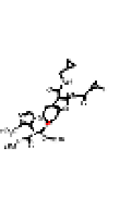 CCOC(=O)c1ncn([C@H]2CCc3sc(NC(=O)C4CC4F)c(C(=O)NCC4CC4)c3C2)c1N(C(=O)OC(C)(C)C)C(=O)OC(C)(C)C